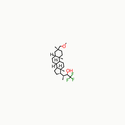 COC[C@]1(C)CC[C@@]2(C)[C@H](CC[C@@H]3[C@@H]2CC[C@]2(C)[C@@H]([C@H](C)[C@@H](O)C(F)(F)F)CC[C@@H]32)C1